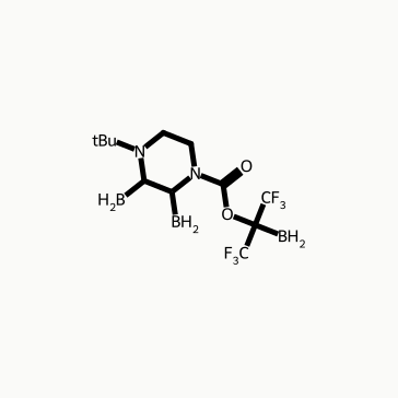 BC1C(B)N(C(C)(C)C)CCN1C(=O)OC(B)(C(F)(F)F)C(F)(F)F